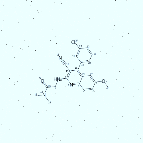 COc1ccc2nc(NCC(=O)N(C)C)c(C#N)c(-c3cccc(Cl)c3)c2c1